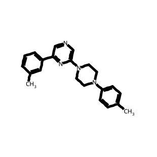 Cc1ccc(N2CCN(c3cncc(-c4cccc(C)c4)n3)CC2)cc1